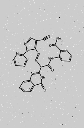 N#Cc1cnn(-c2ncccn2)c1N=NC(C(=O)Nc1ccccc1C(N)=O)c1nc2ccccc2c(=O)[nH]1